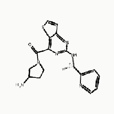 C[C@H](Nc1nc(C(=O)N2CCC(N)C2)c2sccc2n1)c1ccccn1